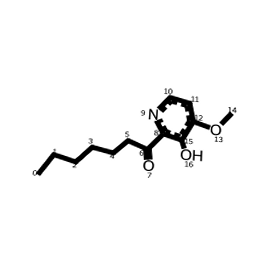 CCCCCCC(=O)c1nccc(OC)c1O